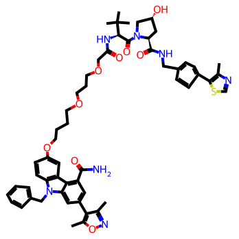 Cc1ncsc1-c1ccc(CNC(=O)[C@@H]2C[C@@H](O)CN2C(=O)[C@@H](NC(=O)COCCCOCCCCOc2ccc3c(c2)c2c(C(N)=O)cc(-c4c(C)noc4C)cc2n3Cc2ccccc2)C(C)(C)C)cc1